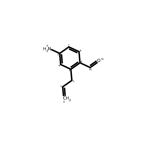 C=CCc1cc(N)ccc1C=O